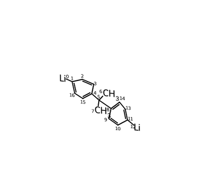 [Li][c]1ccc(C(C)(C)c2cc[c]([Li])cc2)cc1